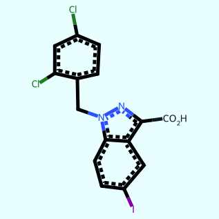 O=C(O)c1nn(Cc2ccc(Cl)cc2Cl)c2ccc(I)cc12